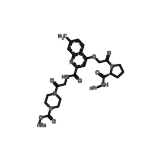 CCCCOC(=O)N1CCN(C(=O)CNC(=O)c2cc(OCC(=O)N3CCC[C@H]3C(=O)NCCC)c3ccc(C)cc3n2)CC1